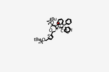 C[C@@H](O[Si](C)(C)C(C)(C)C)[C@H]1C(=O)N(C(C(=O)O)=P(c2ccccc2)(c2ccccc2)c2ccccc2)[C@@H]1CC(=O)c1ccc(CO[Si](C)(C)C(C)(C)C)s1